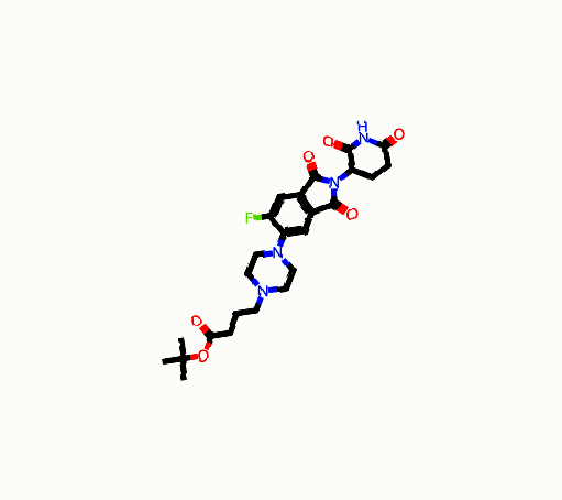 CC(C)(C)OC(=O)CCCN1CCN(c2cc3c(cc2F)C(=O)N(C2CCC(=O)NC2=O)C3=O)CC1